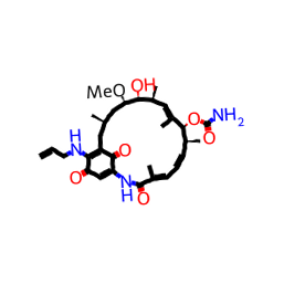 C=CCNC1=C2C[C@@H](C)C[C@H](OC)[C@H](O)[C@@H](C)/C=C(\C)[C@H](OC(N)=O)[C@@H](C)/C=C\C=C(/C)C(=O)NC(=CC1=O)C2=O